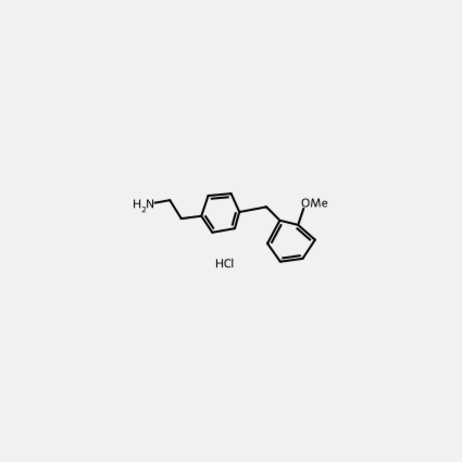 COc1ccccc1Cc1ccc(CCN)cc1.Cl